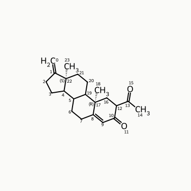 C=C1CCC2C3CCC4=CC(=O)C(C(C)=O)C[C@]4(C)C3CC[C@]12C